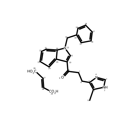 Cc1[nH]cnc1CCC(=O)c1cn(Cc2ccccc2)c2ccccc12.O=C(O)C=CC(=O)O